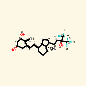 C=C1/C(=C\C=C2/CCC[C@]3(C)C(CCC(O)(C(F)(F)F)C(F)(F)F)CCC23)CC(O)C[C@@H]1O